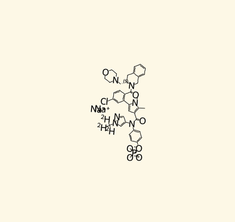 [2H]C([2H])([2H])n1cc(N(C(=O)c2cc(-c3cc(Cl)ccc3C(=O)N3Cc4ccccc4C[C@H]3CN3CCOCC3)n(C)c2C)c2ccc(OP(=O)([O-])[O-])cc2)cn1.[Na+].[Na+]